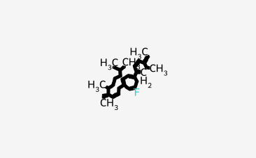 C=C(/C=C\C(=C/C)CC)C1=CC=C(C/C=C\C(=C/C)C(C)CCCC(CC)CC)C=C(F)C1